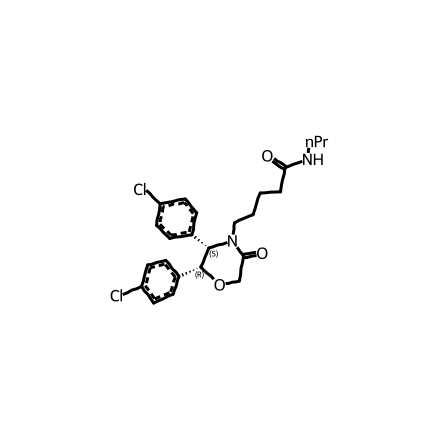 CCCNC(=O)CCCCN1C(=O)CO[C@H](c2ccc(Cl)cc2)[C@@H]1c1ccc(Cl)cc1